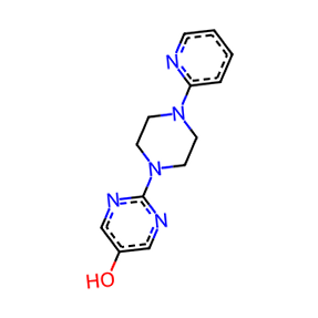 Oc1cnc(N2CCN(c3ccccn3)CC2)nc1